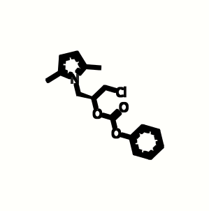 Cc1ccc(C)n1C[C@@H](CCl)OC(=O)Oc1ccccc1